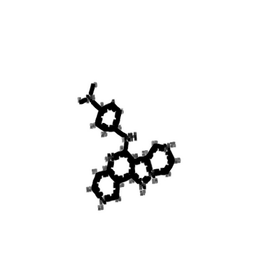 CN(C)c1ccc(Nc2nc3ccncc3c3nn4ccncc4c23)cc1